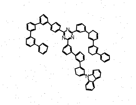 C1=CC(C2=CCCC(c3ccccc3)=C2)=CC(c2cccc(-c3nc(-c4ccc(-c5cccc(-c6cccc(-c7cccc(-c8ccccc8)c7)c6)c5)cc4)nc(-c4cccc(-c5cccc(C6=CC(n7c8ccccc8c8ccccc87)=CCC6)c5)c4)n3)c2)C1